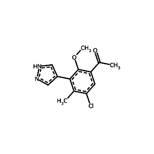 COc1c(C(C)=O)cc(Cl)c(C)c1-c1cn[nH]c1